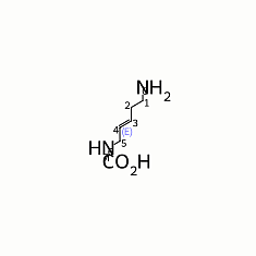 NCC/C=C/CNC(=O)O